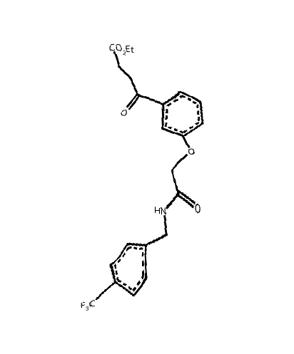 CCOC(=O)CCC(=O)c1cccc(OCC(=O)NCc2ccc(C(F)(F)F)cc2)c1